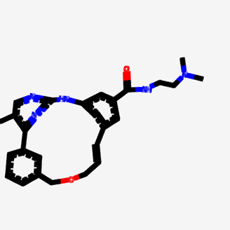 Cc1cnc2nc1-c1cccc(c1)COC/C=C/c1cc(cc(C(=O)NCCN(C)C)c1)N2